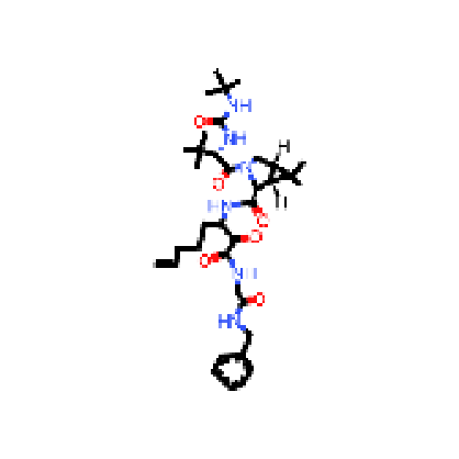 C=CCCCC(NC(=O)[C@@H]1[C@@H]2[C@H](CN1C(=O)[C@@H](NC(=O)NC(C)(C)C)C(C)(C)C)C2(C)C)C(=O)C(=O)NCC(=O)NCc1ccccc1